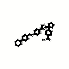 O=C(O)c1ccc(C2(c3nc(-c4ccc(OCc5ccc(C6CCCCC6)cc5)cc4)cs3)CCCC2)cc1